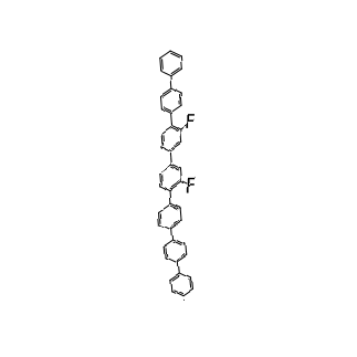 Fc1cc(-c2ccc(-c3ccc(-c4ccc(-c5cc[c]cc5)cc4)cc3)c(F)c2)ccc1-c1ccc(-c2ccccc2)cc1